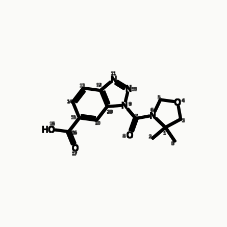 CC1(C)COCN1C(=O)n1nnc2ccc(C(=O)O)cc21